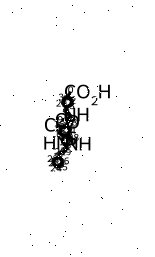 O=C(O)c1ccc(CNS(=O)(=O)c2cc3c(cc2Cl)NC(CCc2ccccc2)NS3)cc1